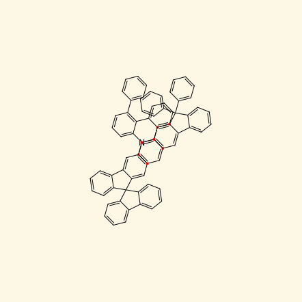 c1ccc(-c2ccccc2-c2c(-c3ccccc3)cccc2N(c2ccc3c(c2)-c2ccccc2C32c3ccccc3-c3ccccc32)c2ccc3c(c2)C(c2ccccc2)(c2ccccc2)c2ccccc2-3)cc1